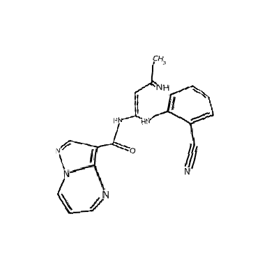 CC(=N)/C=C(/NC(=O)c1cnn2cccnc12)Nc1ccccc1C#N